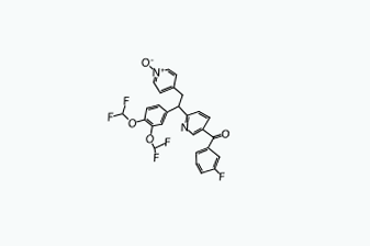 O=C(c1ccc(C(Cc2cc[n+]([O-])cc2)c2ccc(OC(F)F)c(OC(F)F)c2)nc1)c1cccc(F)c1